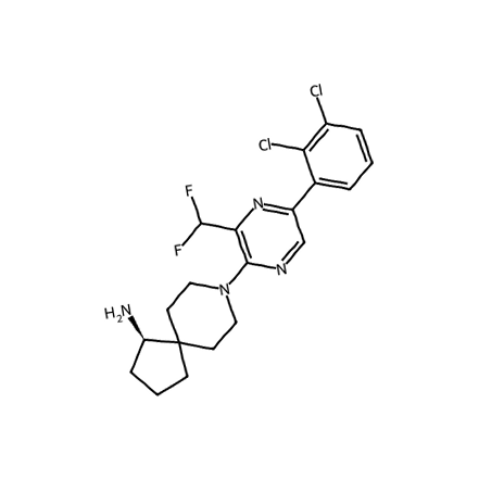 N[C@@H]1CCCC12CCN(c1ncc(-c3cccc(Cl)c3Cl)nc1C(F)F)CC2